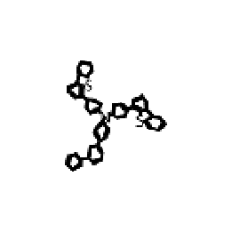 c1ccc(-c2cccc(-c3ccc(N(c4ccc(-c5cccc6c5sc5ccccc56)cc4)c4ccc(-c5cccc6c5sc5ccccc56)cc4)cc3)c2)cc1